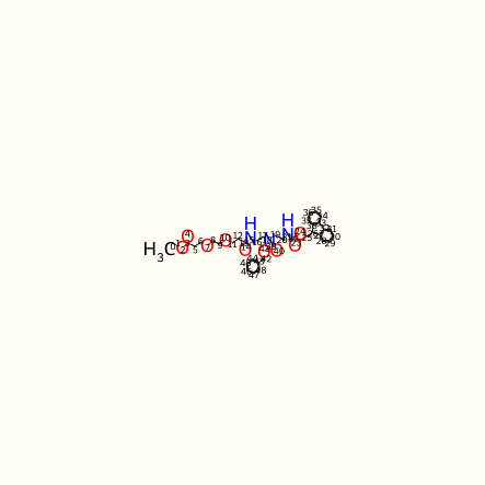 CCOC(=O)CCOCCOCCC(=O)NCCN(CCNC(=O)OCC1c2ccccc2-c2ccccc21)C(=O)OCc1ccccc1